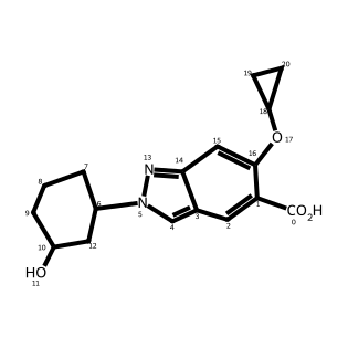 O=C(O)c1cc2cn(C3CCCC(O)C3)nc2cc1OC1CC1